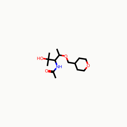 CC(=O)NC(C(C)OCC1CCOCC1)C(C)(C)O